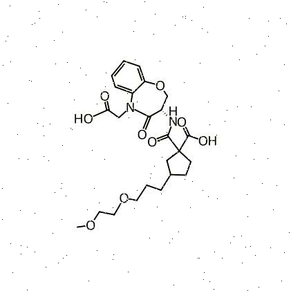 COCCOCCCC1CCC(C(=O)O)(C(=O)N[C@H]2COc3ccccc3N(CC(=O)O)C2=O)C1